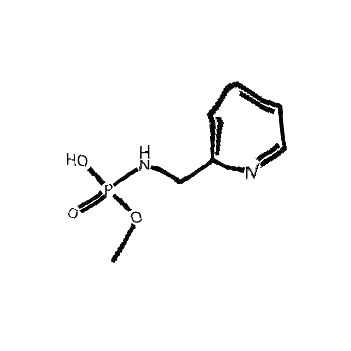 COP(=O)(O)NCc1ccccn1